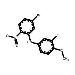 COc1ccc(Nc2cc(Br)ccc2[N+](=O)[O-])cc1Cl